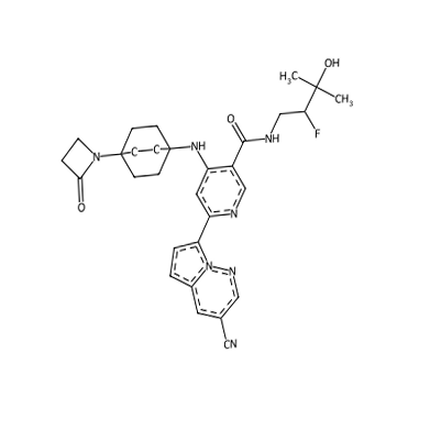 CC(C)(O)C(F)CNC(=O)c1cnc(-c2ccc3cc(C#N)cnn23)cc1NC12CCC(N3CCC3=O)(CC1)CC2